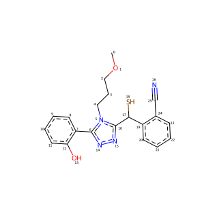 COCCCn1c(-c2ccccc2O)nnc1C(S)c1ccccc1C#N